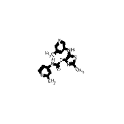 Cc1cncc(Nc2sc(C)nc2OC(=O)Nc2ccnc(C)c2)c1